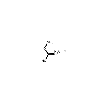 O=C(O)O[SiH3].[AlH3].[Ti]